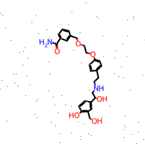 NC(=O)c1cccc(COCCOc2ccc(CCNC[C@@H](O)c3ccc(O)c(CO)c3)cc2)c1